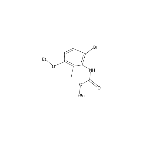 CCOc1ccc(Br)c(NC(=O)OC(C)(C)C)c1C